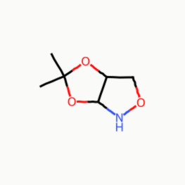 CC1(C)OC2CONC2O1